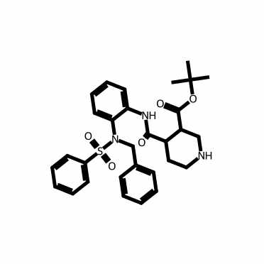 CC(C)(C)OC(=O)C1CNCCC1C(=O)Nc1ccccc1N(Cc1ccccc1)S(=O)(=O)c1ccccc1